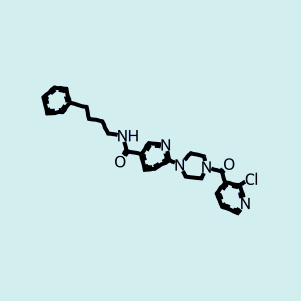 O=C(NCCCCc1ccccc1)c1ccc(N2CCN(C(=O)c3cccnc3Cl)CC2)nc1